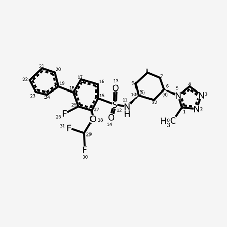 Cc1nncn1[C@@H]1CCC[C@H](NS(=O)(=O)c2ccc(-c3ccccc3)c(F)c2OC(F)F)C1